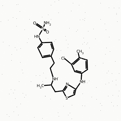 Cc1ccc(Nc2csc(CC(C)NCCc3ccc(NS(N)(=O)=O)cc3)n2)cc1Cl